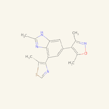 Cc1nc2c(-c3ncsc3C)cc(-c3c(C)noc3C)cc2[nH]1